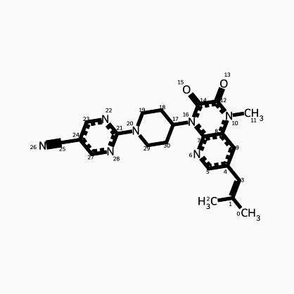 CC(C)=Cc1cnc2c(c1)n(C)c(=O)c(=O)n2C1CCN(c2ncc(C#N)cn2)CC1